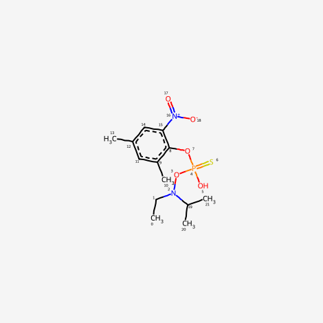 CCN(OP(O)(=S)Oc1c(C)cc(C)cc1[N+](=O)[O-])C(C)C